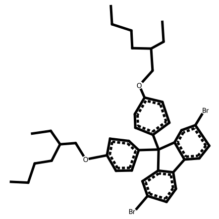 CCCCC(CC)COc1ccc(C2(c3ccc(OCC(CC)CCCC)cc3)c3cc(Br)ccc3-c3ccc(Br)cc32)cc1